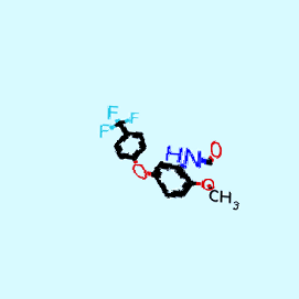 COc1ccc(Oc2ccc(C(F)(F)F)cc2)cc1NC=O